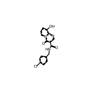 O=C(NCc1ccc(Cl)cc1)c1cnc2c(O)cccn2c1=O